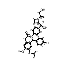 COc1cc2c(cc1OC(C)C)C(c1ccc(Cl)cc1)N(c1ccc([C@](C)(O)C3CCN3C(=O)CO)cc1)C(=O)C2